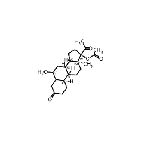 CC(=O)O[C@]1(C(C)=O)CC[C@H]2[C@@H]3C[C@H](C)C4CC(=O)CC[C@@H]4[C@H]3CC[C@@]21C